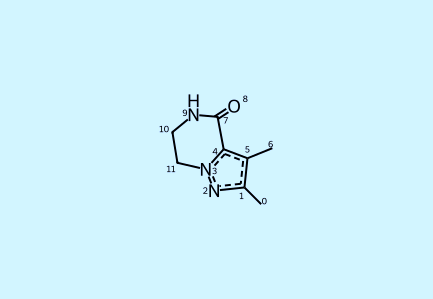 Cc1nn2c(c1C)C(=O)NCC2